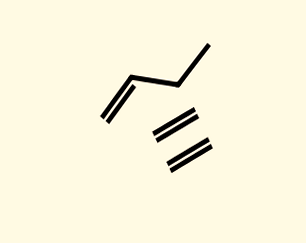 C=C.C=C.C=CCC